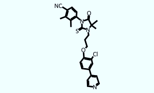 Cc1c(C#N)ccc(N2C(=O)C(C)(C)N(CCCOc3ccc(-c4ccncc4)cc3Cl)C2=S)c1C